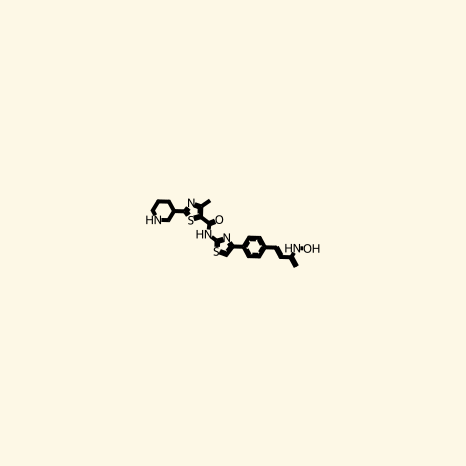 C=C(/C=C/c1ccc(-c2csc(NC(=O)c3sc(C4CCCNC4)nc3C)n2)cc1)NO